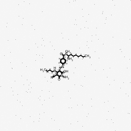 CCCCCCCC(N)N(C)C(=O)c1ccc(/N=N/c2c(NCCCC)c(C#N)c(=O)n(N)c2O)cc1